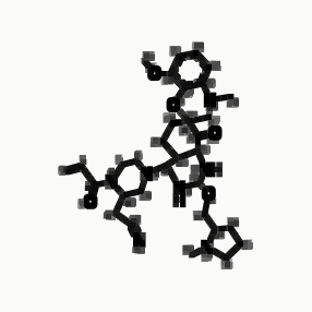 C=CC(=O)N1CCN(C2NC(OCC3CCCN3C)NC3C(=O)[C@@]4(CCC32)CN(C)c2cccc(OC)c2O4)CC1CC#N